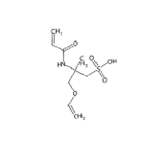 C=COCC(C)(CS(=O)(=O)O)NC(=O)C=C